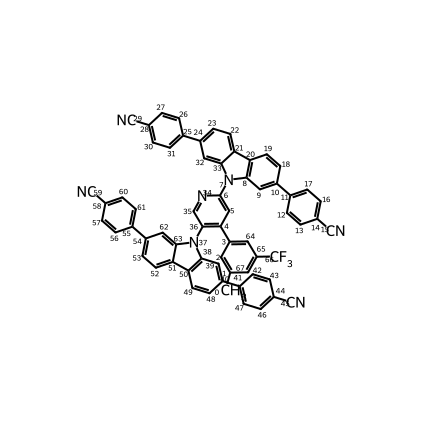 Cc1cc(-c2cc(-n3c4cc(-c5ccc(C#N)cc5)ccc4c4ccc(-c5ccc(C#N)cc5)cc43)ncc2-n2c3cc(-c4ccc(C#N)cc4)ccc3c3ccc(-c4ccc(C#N)cc4)cc32)cc(C(F)(F)F)c1